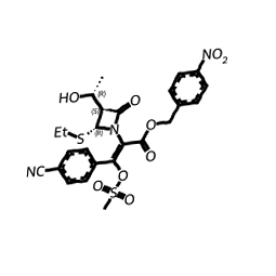 CCS[C@@H]1[C@@H]([C@@H](C)O)C(=O)N1C(C(=O)OCc1ccc([N+](=O)[O-])cc1)=C(OS(C)(=O)=O)c1ccc(C#N)cc1